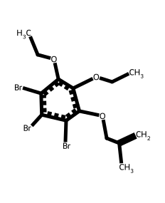 C=C(C)COc1c(Br)c(Br)c(Br)c(OCC)c1OCC